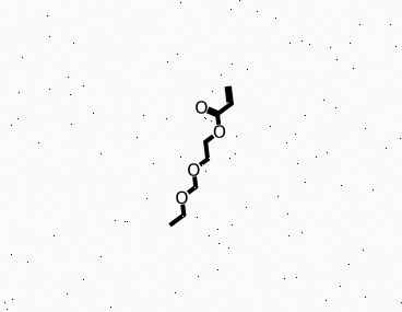 C=CC(=O)OCCOCOCC